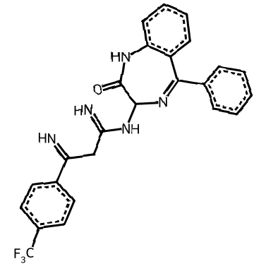 N=C(CC(=N)c1ccc(C(F)(F)F)cc1)NC1N=C(c2ccccc2)c2ccccc2NC1=O